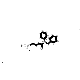 O=C(O)CCCC(=O)N(Cc1ccccc1)c1ccccc1